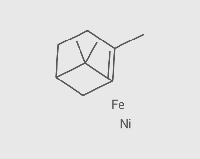 CC1=C2CC(CC1)C2(C)C.[Fe].[Ni]